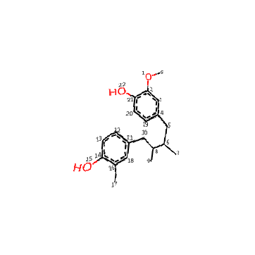 COc1cc(CC(C)C(C)Cc2ccc(O)c(C)c2)ccc1O